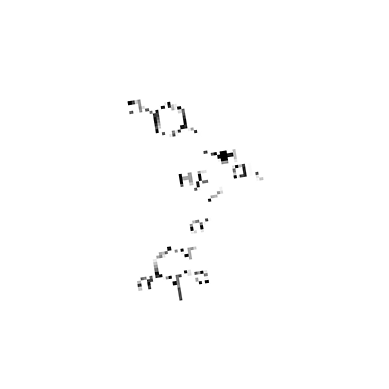 CC(C)(CCCOCn1ccc(=O)[nH]c1=O)NCCc1ccc(Cl)cc1